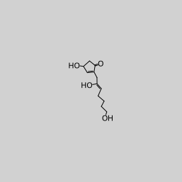 O=C1CC(O)C=C1C/C(O)=C/CCCCO